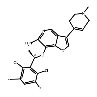 C[C@@H](Oc1c(N)ncc2c(C3=CCN(C)CC3)coc12)c1c(Cl)c(F)cc(F)c1Cl